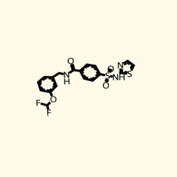 O=C(NCc1cccc(OC(F)F)c1)c1ccc(S(=O)(=O)Nc2nccs2)cc1